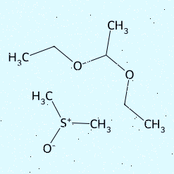 CCOC(C)OCC.C[S+](C)[O-]